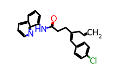 C=CCC(=Cc1ccc(Cl)cc1)CCC(=O)Nc1cccc2cccnc12